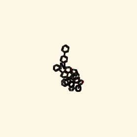 c1ccc(-c2ccc(N(c3ccc(-c4cccc5c4-c4ccccc4C54c5ccccc5Oc5ccccc54)cc3)c3ccccc3-c3ccc4c(c3)-c3ccccc3C43c4ccccc4Oc4ccccc43)cc2)cc1